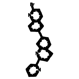 Brc1ccc2cc(-c3ccc4ccc(-c5ccccn5)nc4c3)ccc2n1